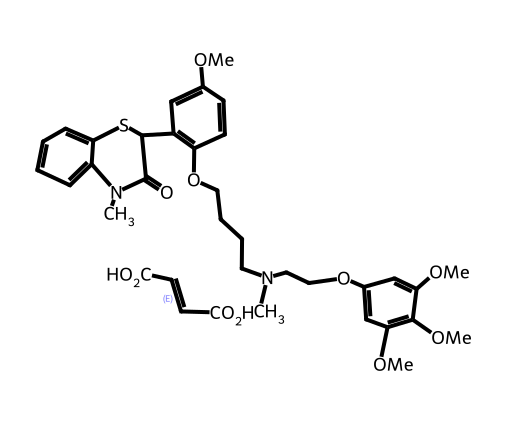 COc1ccc(OCCCCN(C)CCOc2cc(OC)c(OC)c(OC)c2)c(C2Sc3ccccc3N(C)C2=O)c1.O=C(O)/C=C/C(=O)O